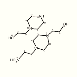 O=S(=O)(O)CCN1CCN(CCO)CC1.OCCN1CCNCC1